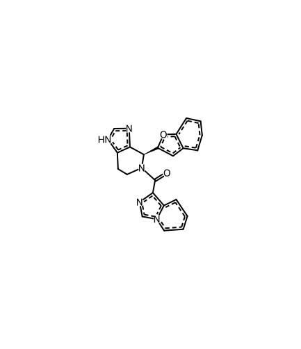 O=C(c1ncn2ccccc12)N1CCc2[nH]cnc2[C@H]1c1cc2ccccc2o1